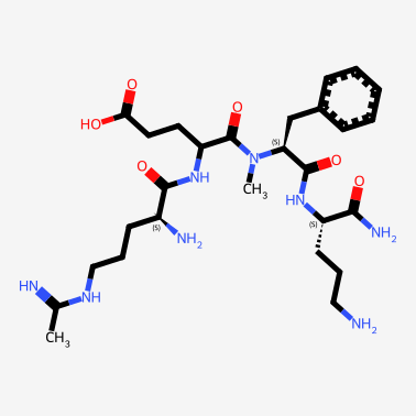 CC(=N)NCCC[C@H](N)C(=O)NC(CCC(=O)O)C(=O)N(C)[C@@H](Cc1ccccc1)C(=O)N[C@@H](CCCN)C(N)=O